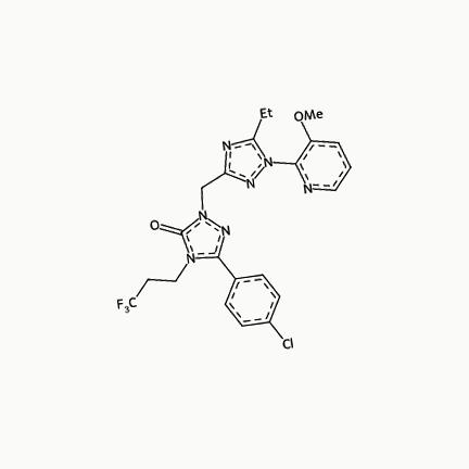 CCc1nc(Cn2nc(-c3ccc(Cl)cc3)n(CCC(F)(F)F)c2=O)nn1-c1ncccc1OC